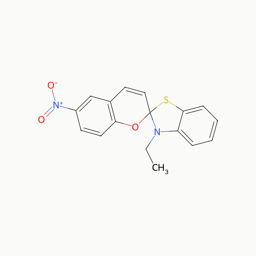 CCN1c2ccccc2SC12C=Cc1cc([N+](=O)[O-])ccc1O2